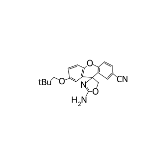 CC(C)(C)COc1ccc2c(c1)C1(COC(N)=N1)c1cc(C#N)ccc1O2